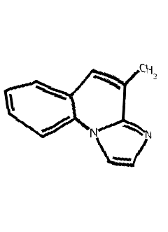 Cc1cc2ccccc2n2ccnc12